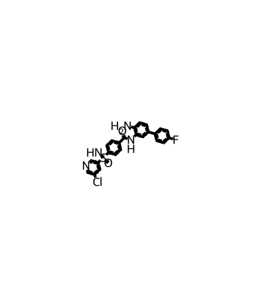 N=S(=O)(c1ccc(C(=O)Nc2cc(-c3ccc(F)cc3)ccc2N)cc1)c1cncc(Cl)c1